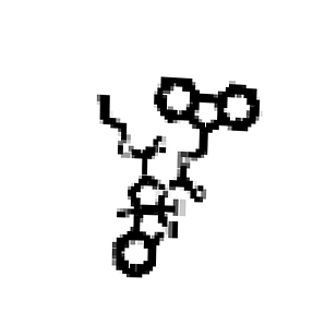 C=CCOC(=O)[C@@H]1C[C@@]2(C)c3ccccc3N[C@H]2N1C(=O)OCC1c2ccccc2-c2ccccc21